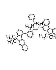 CC1(C)c2cc3ccccc3cc2-c2c(-c3cccc(/C=C/C(NC(N)c4ccccc4)c4cc5c(c6ccccc46)-c4ccccc4C5(C)C)c3)cccc21